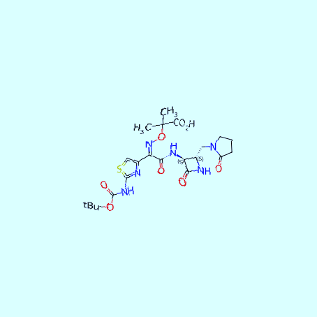 CC(C)(C)OC(=O)Nc1nc(C(=NOC(C)(C)C(=O)O)C(=O)N[C@@H]2C(=O)N[C@H]2CN2CCCC2=O)cs1